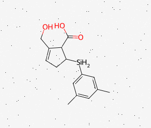 Cc1cc(C)cc([SiH2]C2CC=C(CO)C2C(=O)O)c1